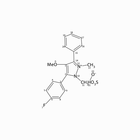 COc1c(-c2ccc(F)cc2)n(C)[n+](C)c1-c1ccccc1.O=S(=O)([O-])O